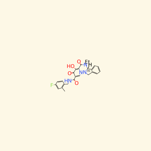 CCN1C(=O)c2c(O)c(=O)c(C(=O)NCc3ccc(F)cc3C)cn2N2Cc3ccccc3[C@@H]12